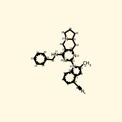 Cc1cc2c(C#N)cccc2n1-c1nc2c(c(NCc3ccccc3)n1)CN1CCCC1C2